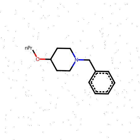 CCCOC1CCN(Cc2ccccc2)CC1